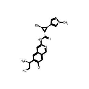 CC[C@@H]1[C@@H](C(=O)Nc2cc3cc([C@H](C)CC#N)c(Cl)cc3cn2)[C@@H]1c1cnn(C)c1